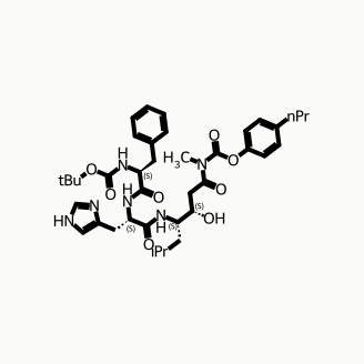 C[CH]Cc1ccc(OC(=O)N(C)C(=O)C[C@H](O)[C@H](CC(C)C)NC(=O)[C@H](Cc2c[nH]cn2)NC(=O)[C@H](Cc2ccccc2)NC(=O)OC(C)(C)C)cc1